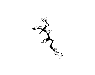 CCCCOC(C)(OCCCC)OC(=O)CCCC(=O)O